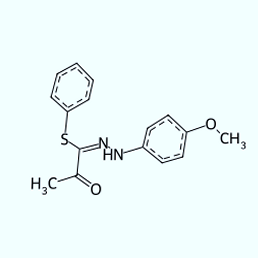 COc1ccc(N/N=C(/Sc2ccccc2)C(C)=O)cc1